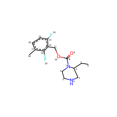 CCC1CNCCN1C(=O)OCc1c(F)ccc(C)c1F